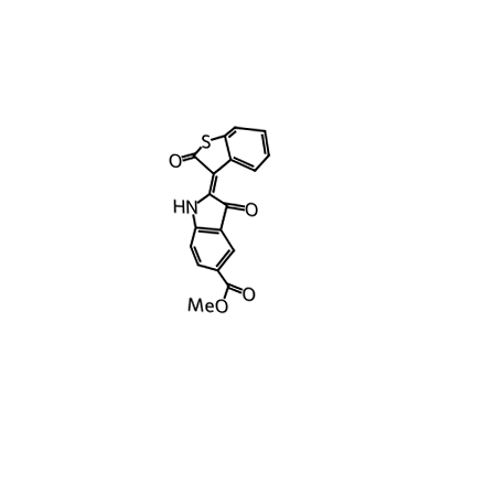 COC(=O)c1ccc2c(c1)C(=O)/C(=C1/C(=O)Sc3ccccc31)N2